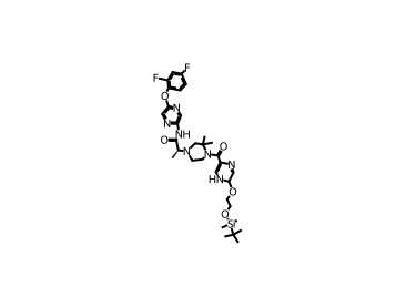 C[C@@H](C(=O)Nc1cnc(Oc2ccc(F)cc2F)cn1)N1CCN(C(=O)C2=CNC(OCCO[Si](C)(C)C(C)(C)C)C=N2)C(C)(C)C1